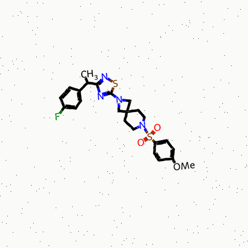 COc1ccc(S(=O)(=O)N2CCC3(CC2)CN(c2nc(C(C)c4ccc(F)cc4)ns2)C3)cc1